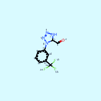 O=CC1NN=NN1c1cccc(C(F)(F)F)c1